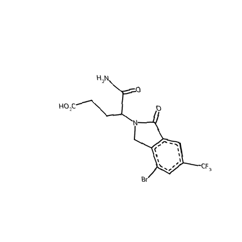 NC(=O)C(CCC(=O)O)N1Cc2c(Br)cc(C(F)(F)F)cc2C1=O